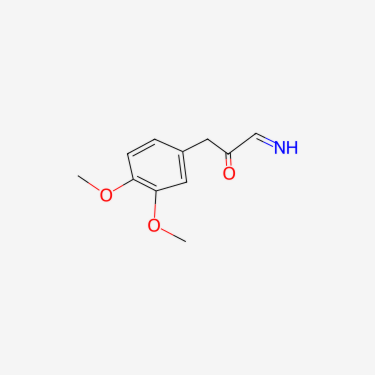 COc1ccc(CC(=O)C=N)cc1OC